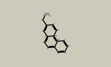 CCc1[c]c2ccc3ccccc3c2cc1